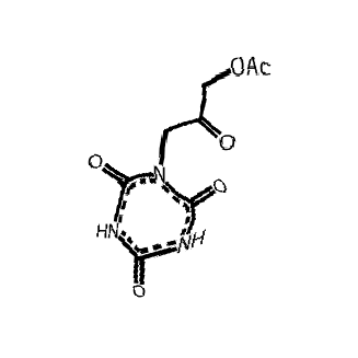 CC(=O)OCC(=O)Cn1c(=O)[nH]c(=O)[nH]c1=O